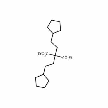 CCOC(=O)C(CCC1CCCC1)(CCC1CCCC1)C(=O)OCC